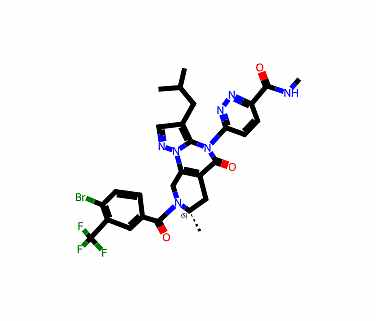 CNC(=O)c1ccc(-n2c(=O)c3c(n4ncc(CC(C)C)c24)CN(C(=O)c2ccc(Br)c(C(F)(F)F)c2)[C@@H](C)C3)nn1